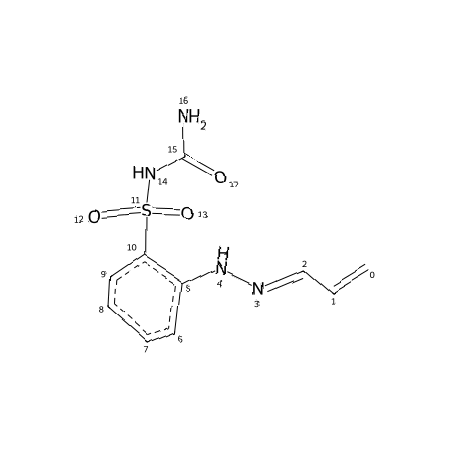 C=CC=NNc1ccccc1S(=O)(=O)NC(N)=O